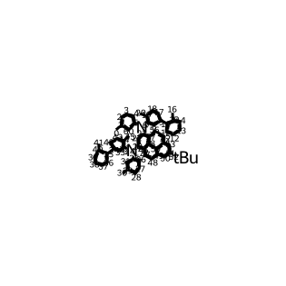 Cc1cccc(N(c2cc(-c3ccccc3C)ccc2C)c2cc(N(c3cccc(C)c3)c3cc(-c4ccccc4C)ccc3C)c3ccc4cc(C(C)(C)C)cc5ccc2c3c54)c1